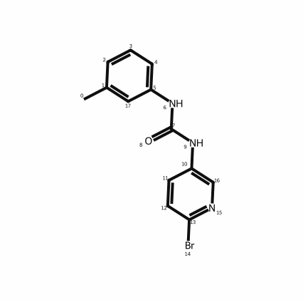 Cc1cccc(NC(=O)Nc2ccc(Br)nc2)c1